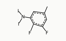 Cc1cc(F)c(F)c(N(I)I)c1